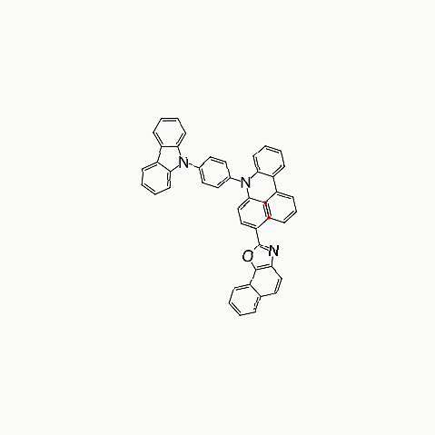 c1ccc(-c2ccccc2N(c2ccc(-c3nc4ccc5ccccc5c4o3)cc2)c2ccc(-n3c4ccccc4c4ccccc43)cc2)cc1